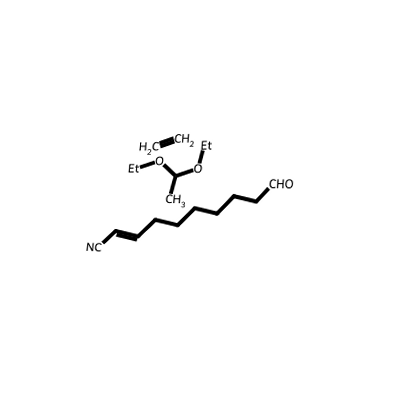 C=C.CCOC(C)OCC.N#C/C=C/CCCCCCC=O